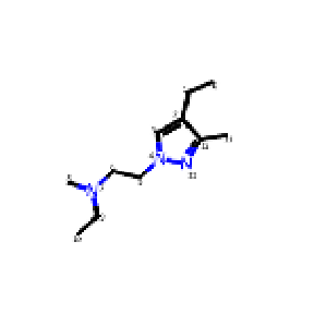 CCc1cn(CCN(C)CC)nc1C